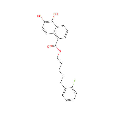 O=C(OCCCCCc1ccccc1F)c1cccc2c(O)c(O)ccc12